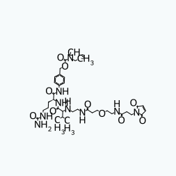 CCN(C)C(=O)OCc1ccc(NC(=O)[C@H](CCCNC(N)=O)NC(=O)[C@@H](NCCNC(=O)CCOCCNC(=O)CCN2C(=O)C=CC2=O)C(C)C)cc1